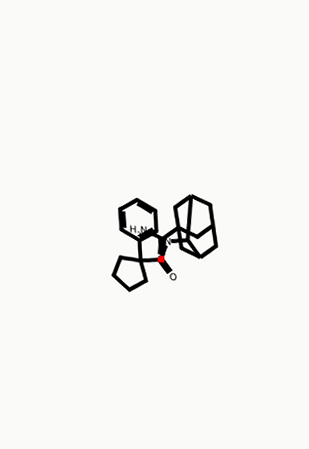 NC(=O)C12CC3CC(C1)C(NC(=O)C1(c4ccccc4)CCCC1)C(C3)C2